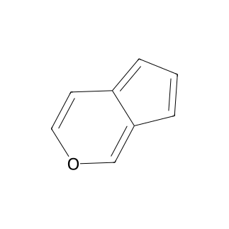 c1cc2ccocc-2c1